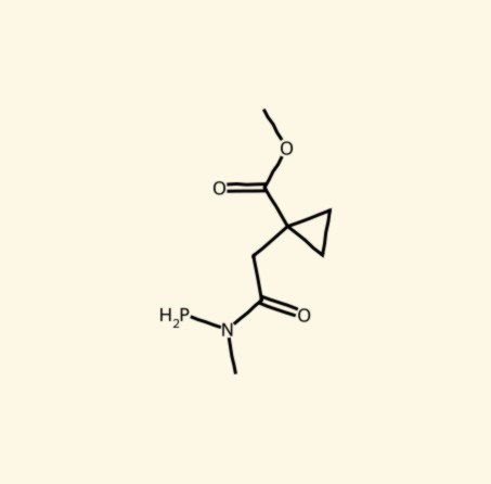 COC(=O)C1(CC(=O)N(C)P)CC1